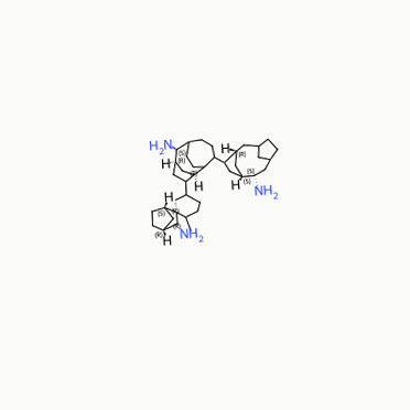 CC1CCC(C2C[C@@H]3C[C@H]2C2CCC(CCC2C2C[C@@H]4C[C@H]2CC2CCC(C2)C[C@@H]4N)[C@@H]3N)C[C@]12[C@H]1CC[C@H](C1)[C@H]2N